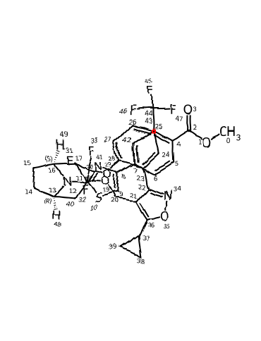 COC(=O)c1ccc(-c2csc(N3[C@@H]4CC[C@H]3CC(OCc3c(-c5ccccc5OC(F)(F)F)noc3C3CC3)C4)n2)cc1C(F)(F)F